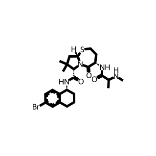 CNC(C)C(=O)N[C@H]1CCS[C@H]2CC(C)(C)[C@@H](C(=O)N[C@@H]3CCCc4cc(Br)ccc43)N2C1=O